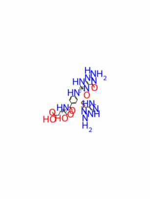 Nc1nc(=O)c2c([nH]1)NC[C@@H](CNc1ccc(C(=O)N[C@H](CCC(=O)O)C(=O)O)cc1)N2C=O.Nc1nc(=S)c2[nH]cnc2[nH]1